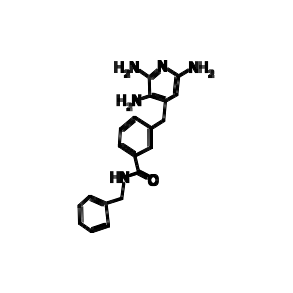 Nc1cc(Cc2cccc(C(=O)NCc3ccccc3)c2)c(N)c(N)n1